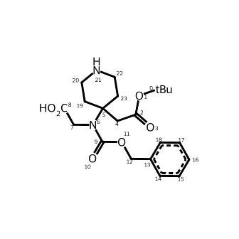 CC(C)(C)OC(=O)CC1(N(CC(=O)O)C(=O)OCc2ccccc2)CCNCC1